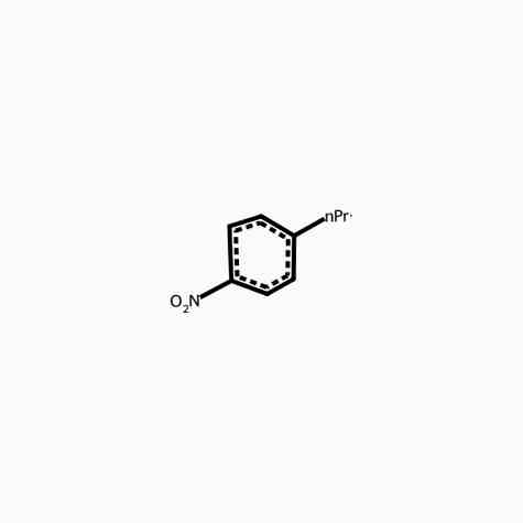 CC[CH]c1ccc([N+](=O)[O-])cc1